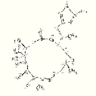 C/C(=C\c1csc(C)n1)C1CC2O[C@]2(C)CCC[C@H](C)[C@H](C)[C@@H](C)C(=O)C(C)(C)[C@@H](O)CC(=O)O1